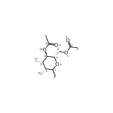 CC(=O)OC[C@@H]1OC(C)[C@H](C)[C@H](C)[C@H]1OC(C)=O